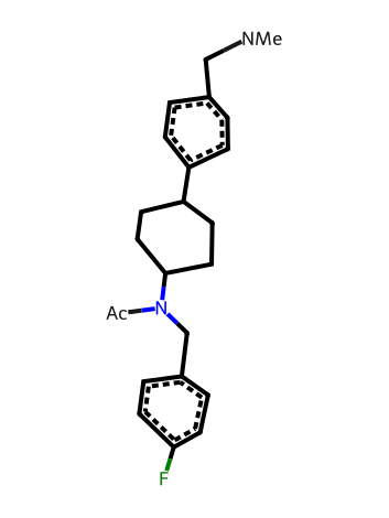 CNCc1ccc(C2CCC(N(Cc3ccc(F)cc3)C(C)=O)CC2)cc1